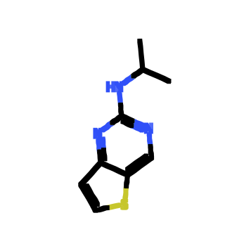 CC(C)Nc1ncc2sccc2n1